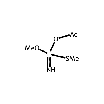 COP(=N)(OC(C)=O)SC